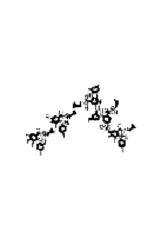 Cc1cc(I)ccc1Nc1c(C(=O)NOCC2CC2)cc(Cl)c(F)c1F.Cc1cc(I)ccc1Nc1cc([N+](=O)[O-])ccc1C(=O)NOCC1CC1.O=C(NOCC1CC1)c1cc(Br)c(F)c(F)c1Nc1ccc(I)cc1F.O=C(NOCC1CC1)c1cc(Cl)c(F)c(F)c1Nc1ccc(I)cc1F.O=C(NOCC1CC1)c1cc(F)c(F)c(F)c1Nc1ccc(I)cc1F